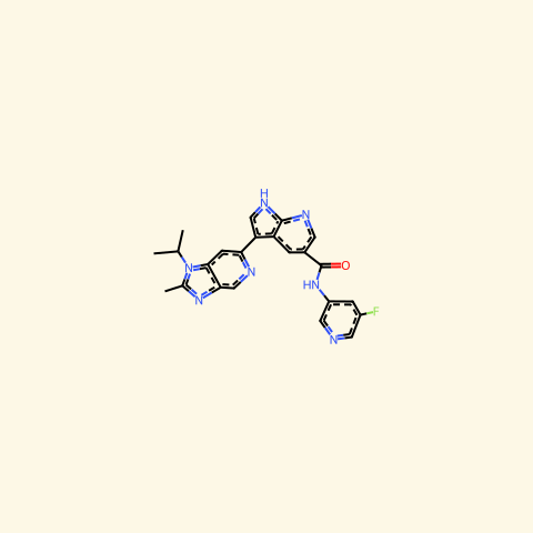 Cc1nc2cnc(-c3c[nH]c4ncc(C(=O)Nc5cncc(F)c5)cc34)cc2n1C(C)C